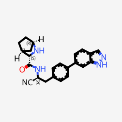 N#C[C@H](Cc1ccc(-c2ccc3cn[nH]c3c2)cc1)NC(=O)[C@H]1N[C@@H]2CC[C@H]1C2